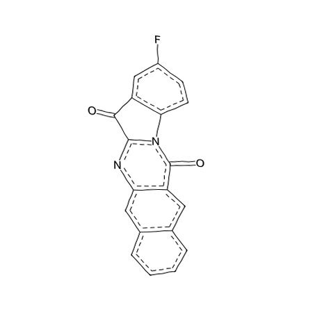 O=C1c2cc(F)ccc2-n2c1nc1cc3ccccc3cc1c2=O